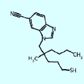 CCCCC(C)(CCCS)Cn1cnc2ccc(C#N)cc21